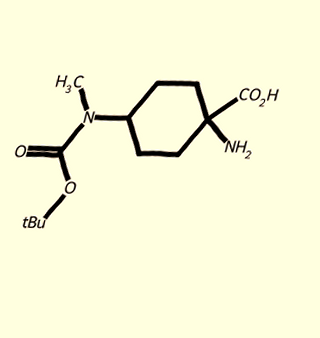 CN(C(=O)OC(C)(C)C)C1CCC(N)(C(=O)O)CC1